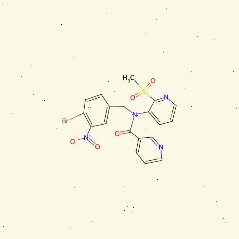 CS(=O)(=O)c1ncccc1N(Cc1ccc(Br)c([N+](=O)[O-])c1)C(=O)c1cccnc1